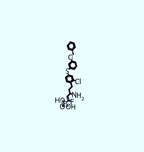 NC(/C=C(\F)P(=O)(O)O)CCc1ccc(Sc2cccc(OCc3ccccc3)c2)cc1Cl